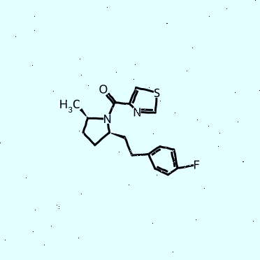 C[C@@H]1CC[C@H](CCc2ccc(F)cc2)N1C(=O)c1cscn1